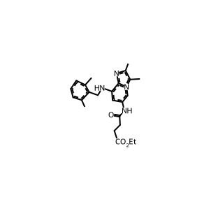 CCOC(=O)CCC(=O)Nc1cc(NCc2c(C)cccc2C)c2nc(C)c(C)n2c1